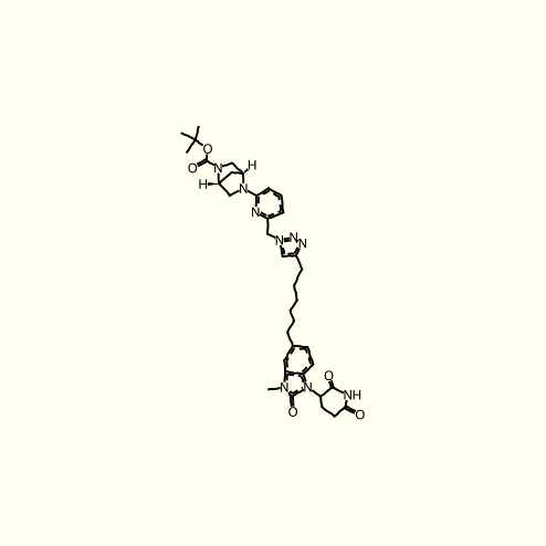 Cn1c(=O)n(C2CCC(=O)NC2=O)c2ccc(CCCCCCc3cn(Cc4cccc(N5C[C@H]6C[C@@H]5CN6C(=O)OC(C)(C)C)n4)nn3)cc21